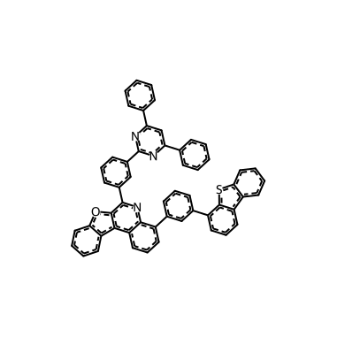 c1ccc(-c2cc(-c3ccccc3)nc(-c3cccc(-c4nc5c(-c6cccc(-c7cccc8c7sc7ccccc78)c6)cccc5c5c4oc4ccccc45)c3)n2)cc1